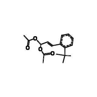 CC(=O)OC(/C=C/c1ccccc1C(C)(C)C)OC(C)=O